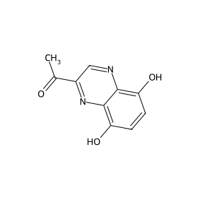 CC(=O)c1cnc2c(O)ccc(O)c2n1